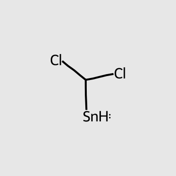 Cl[CH](Cl)[SnH]